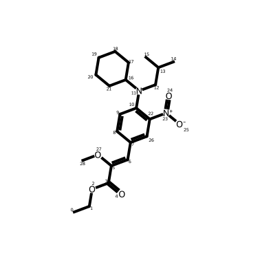 CCOC(=O)C(=Cc1ccc(N(CC(C)C)C2CCCCC2)c([N+](=O)[O-])c1)OC